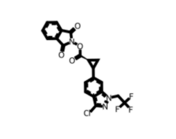 O=C(ON1C(=O)c2ccccc2C1=O)[C@H]1CC1c1ccc2c(Cl)nn(CC(F)(F)F)c2c1